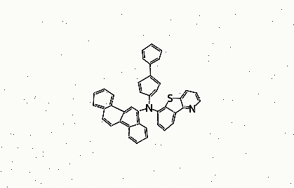 c1ccc(-c2ccc(N(c3cc4c5ccccc5ccc4c4ccccc34)c3cccc4c3sc3cccnc34)cc2)cc1